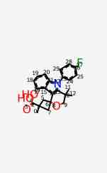 CC1(C(=O)O)CC2(C1)OCC(C)(C)c1c2c2c(O)cccc2n1-c1ccc(F)cc1